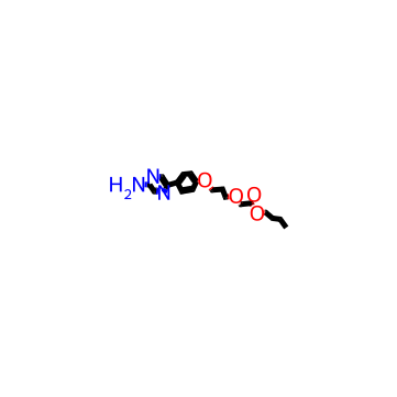 CCCCOC(=O)COCCCOc1ccc(-c2cnc(N)cn2)cc1